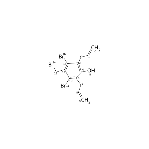 C=CCc1c(O)c(CC=C)c(Br)c(CBr)c1Br